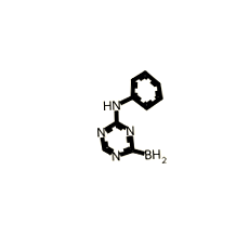 Bc1ncnc(Nc2ccccc2)n1